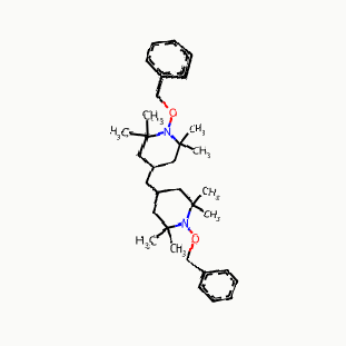 CC1(C)CC(CC2CC(C)(C)N(OCc3ccccc3)C(C)(C)C2)CC(C)(C)N1OCc1ccccc1